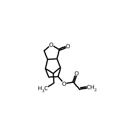 C=CC(=O)OC1CC2C3COC(=O)C3C1C2CC